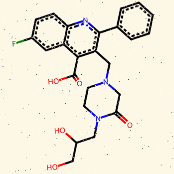 O=C(O)c1c(CN2CCN(CC(O)CO)C(=O)C2)c(-c2ccccc2)nc2ccc(F)cc12